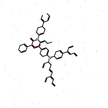 C=C/C=C(C=C)/C=C/CC(C=C)N(C1=CC=C(C(=C)/C=C\C(=C)N(C2=CCC(C(/C=C\C)=C/C)CC2)C(/C=C\CC2=CCCC=C2)=C/CC)CC1)C1C=CC(/C(C=C)=C/C=C)=CC1